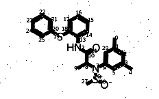 Cc1cc(C)cc(N(C(C)C(=O)Nc2ccccc2Sc2ccccc2)[S+](C)[O-])c1